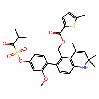 COc1cc(OS(=O)(=O)C(=O)C(C)C)ccc1-c1ccc2c(c1COC(=O)c1ccc(C)s1)C(C)=CC(C)(C)N2